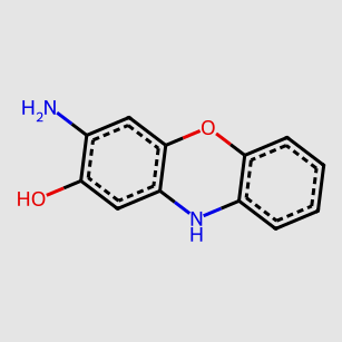 Nc1cc2c(cc1O)Nc1ccccc1O2